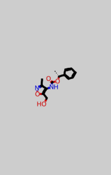 Cc1noc(CO)c1NC(=O)O[C@H](C)c1ccccc1